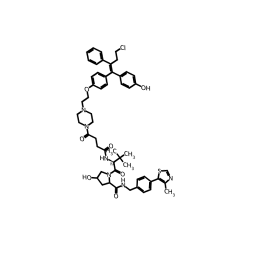 Cc1ncsc1-c1ccc(CNC(=O)C2CC(O)CN2C(=O)[C@@H](NC(=O)CCC(=O)N2CCN(CCOc3ccc(C(=C(CCCl)c4ccccc4)c4ccc(O)cc4)cc3)CC2)C(C)(C)C)cc1